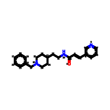 O=C(C=Cc1cccnc1)NCCC1CCN(Cc2ccccc2)CC1